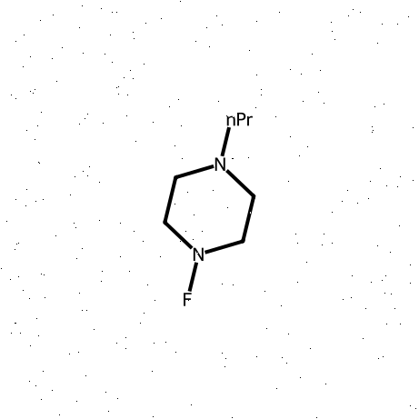 CCCN1CCN(F)CC1